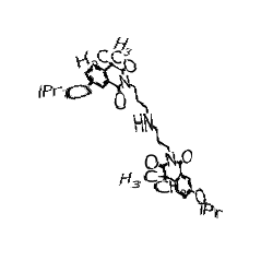 CC(C)Oc1ccc2c(c1)C(=O)N(CCCNCCCN1C(=O)c3cc(OC(C)C)ccc3C(C)(C)C1=O)C(=O)C2(C)C